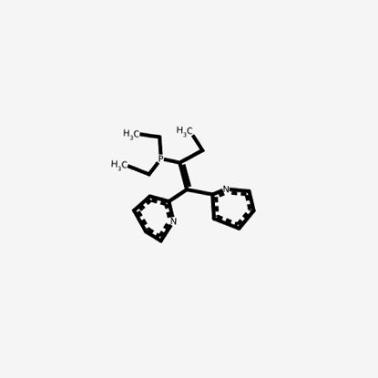 CCC(=C(c1ccccn1)c1ccccn1)P(CC)CC